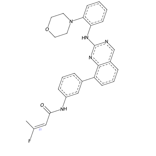 C/C(F)=C\C(=O)Nc1cccc(-c2cccc3cnc(Nc4ccccc4N4CCOCC4)nc23)c1